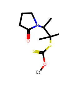 CCOC(=S)SC(C)(C)C(C)N1CCCC1=O